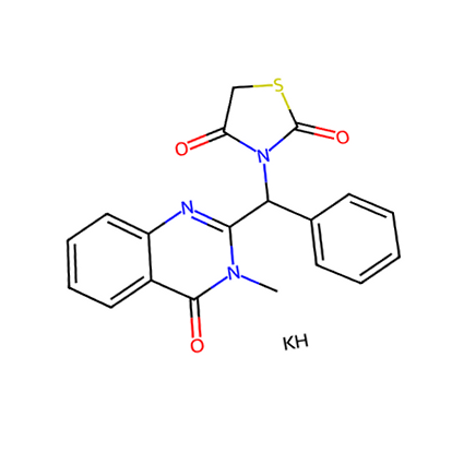 Cn1c(C(c2ccccc2)N2C(=O)CSC2=O)nc2ccccc2c1=O.[KH]